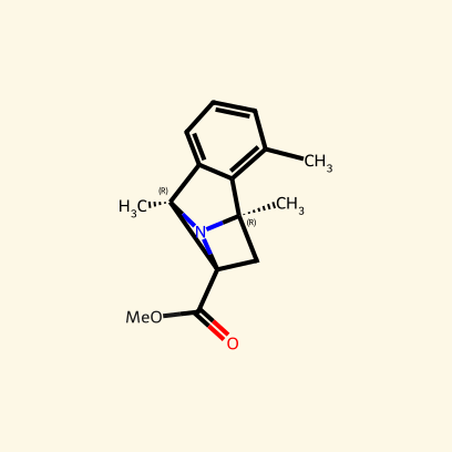 COC(=O)C12C[C@]3(C)c4c(C)cccc4[C@@]1(C)N23